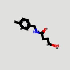 Cc1ccc(CNC(=O)CCCO)cc1